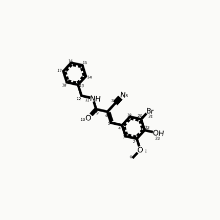 COc1cc(/C=C(\C#N)C(=O)NCc2ccccc2)cc(Br)c1O